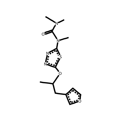 CC(Cc1ccoc1)Oc1nnc(N(C)C(=O)N(C)C)s1